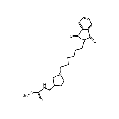 CC(C)(C)OC(=O)NC[C@@H]1CCN(CCCCCCN2C(=O)c3ccccc3C2=O)C1